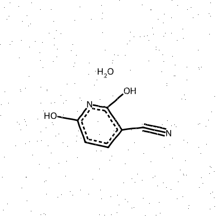 N#Cc1ccc(O)nc1O.O